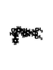 CC1CN(c2ccc3c(Nc4ccc(Cl)c(-c5nc(-c6ccccc6)c[nH]5)c4)nccc3n2)CC(C)O1